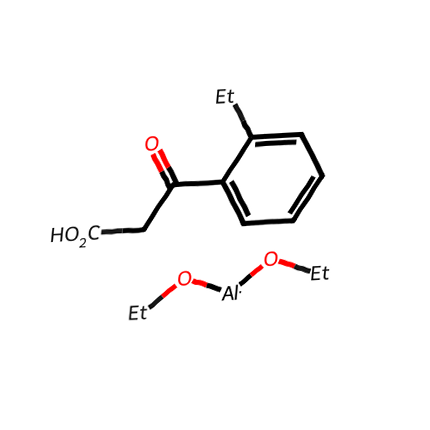 CC[O][Al][O]CC.CCc1ccccc1C(=O)CC(=O)O